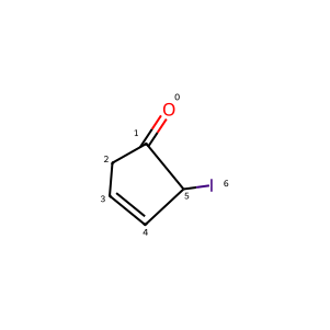 O=C1CC=CC1I